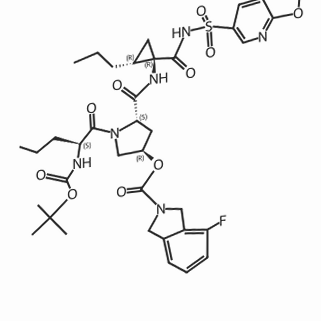 CCC[C@@H]1C[C@]1(NC(=O)[C@@H]1C[C@@H](OC(=O)N2Cc3cccc(F)c3C2)CN1C(=O)[C@H](CCC)NC(=O)OC(C)(C)C)C(=O)NS(=O)(=O)c1ccc(OC)nc1